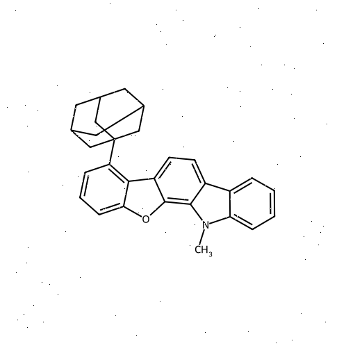 Cn1c2ccccc2c2ccc3c(oc4cccc(C56CC7CC(CC(C7)C5)C6)c43)c21